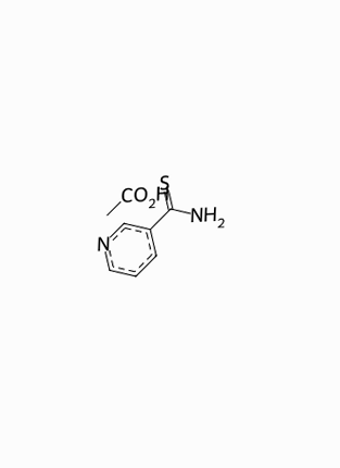 CC(=O)O.NC(=S)c1cccnc1